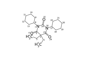 CCC1(CC)C(=O)N(C2CCCCC2)C(=O)N(C2CCCCC2)C1=O